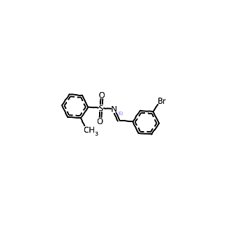 Cc1ccccc1S(=O)(=O)/N=C/c1cccc(Br)c1